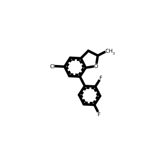 CC1Cc2cc(Cl)cc(-c3ccc(F)cc3F)c2O1